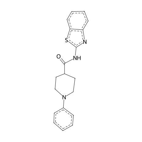 O=C(Nc1nc2ccccc2s1)C1CCN(c2ccccc2)CC1